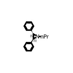 CCCN1[C@@H](c2ccccc2)[C@@H]1c1ccccc1